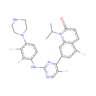 CC(C)n1c(=O)ccc2c(F)cc(-c3nc(Nc4ccc(N5CCNCC5)c(F)c4F)ncc3F)cc21